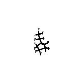 FC1=C(C(F)(F)C(F)(F)F)C(F)(F)C(F)(F)C1(F)F